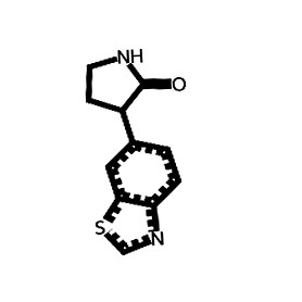 O=C1NCCC1c1ccc2ncsc2c1